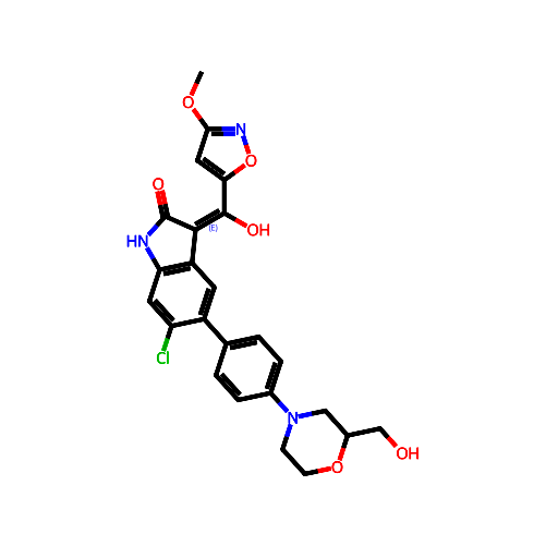 COc1cc(/C(O)=C2\C(=O)Nc3cc(Cl)c(-c4ccc(N5CCOC(CO)C5)cc4)cc32)on1